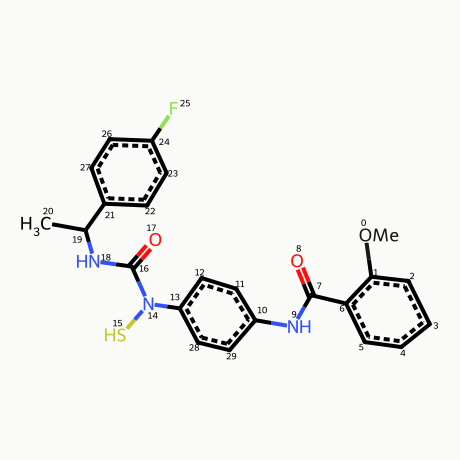 COc1ccccc1C(=O)Nc1ccc(N(S)C(=O)NC(C)c2ccc(F)cc2)cc1